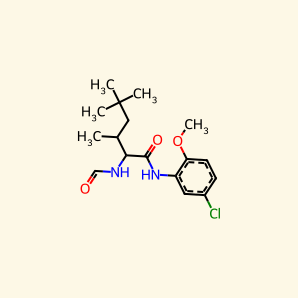 COc1ccc(Cl)cc1NC(=O)C(NC=O)C(C)CC(C)(C)C